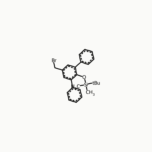 CC(C)(C)[Si](C)(C)Oc1c(-c2ccccc2)cc(CBr)cc1-c1ccccc1